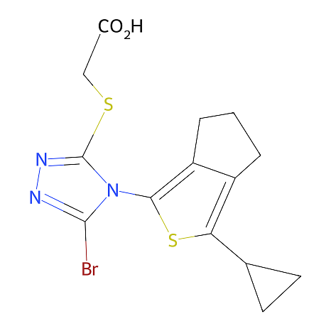 O=C(O)CSc1nnc(Br)n1-c1sc(C2CC2)c2c1CCC2